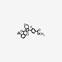 COC(=O)c1ccc(-c2nn(C(=O)c3c(Cl)cccc3C3CC3)c3c2CCOC3)c(F)c1